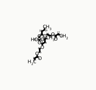 C=CC(=O)OCCOC(CCC)OP(=O)(O)OC(CCC)OCCOC(=O)C=C